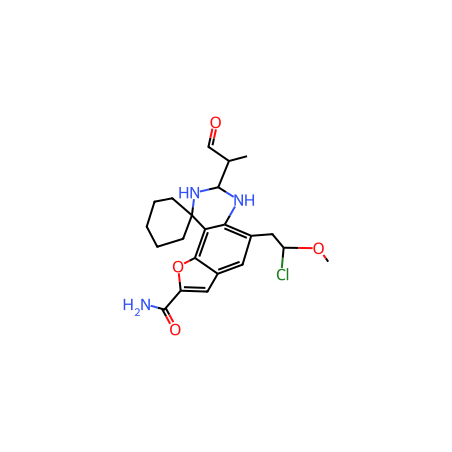 COC(Cl)Cc1cc2cc(C(N)=O)oc2c2c1NC(C(C)C=O)NC21CCCCC1